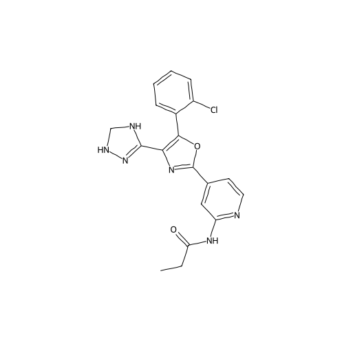 CCC(=O)Nc1cc(-c2nc(C3=NNCN3)c(-c3ccccc3Cl)o2)ccn1